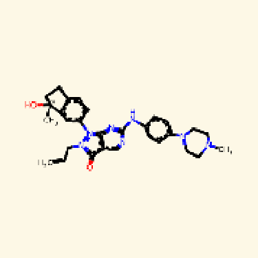 C=CCn1c(=O)c2cnc(Nc3ccc(N4CCN(C)CC4)cc3)nc2n1-c1ccc2c(c1)[C@](C)(O)CC2